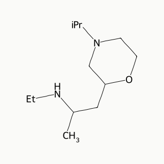 CCNC(C)CC1CN(C(C)C)CCO1